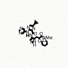 CNC(=O)C(Cc1[nH]ncc1NC(=O)c1nc(C2CC2)cnc1Nc1cncnc1)OC1CCCCO1